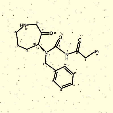 CC(C)CC(=O)NC(=O)N(Cc1ccccc1)[C@H]1CCCNCC1=O